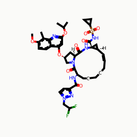 COc1ccc2c(O[C@@H]3C[C@H]4C(=O)N[C@]5(C(=O)NS(=O)(=O)C6CC6)C[C@H]5/C=C\CCCCC[C@H](NC(=O)c5ccn(CC(F)F)n5)C(=O)N4C3)cc(OC(C)C)nc2c1C